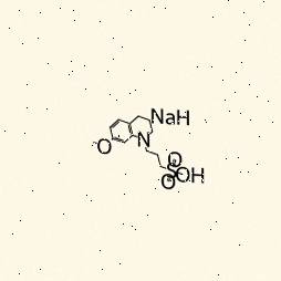 COc1ccc2c(c1)N(CCCS(=O)(=O)O)CCC2.[NaH]